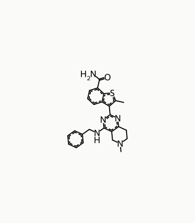 Cc1sc2c(C(N)=O)cccc2c1-c1nc2c(c(NCc3ccccc3)n1)CN(C)CC2